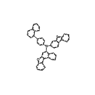 c1ccc2c(-c3ccc(N(c4ccc5c(c4)sc4ccccc45)c4cc5oc6ccccc6c5c5ccccc45)cc3)cccc2c1